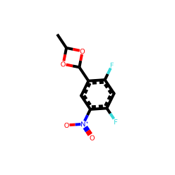 CC1OC(c2cc([N+](=O)[O-])c(F)cc2F)O1